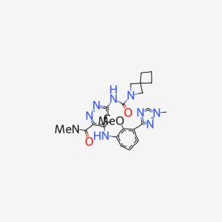 CNC(=O)c1nnc(NC(=O)N2CC3(CCC3)C2)cc1Nc1cccc(-c2ncn(C)n2)c1OC